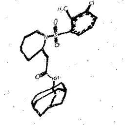 Cc1c(Cl)cccc1S(=O)(=O)N1CCCCC1CC(=O)NC12CC3CC(CC(C3)C1)C2